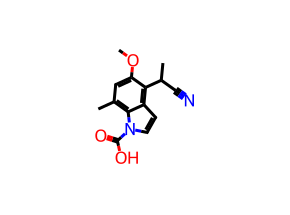 COc1cc(C)c2c(ccn2C(=O)O)c1C(C)C#N